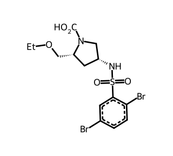 CCOC[C@H]1C[C@@H](NS(=O)(=O)c2cc(Br)ccc2Br)CN1C(=O)O